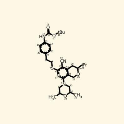 CC1CN(c2nc(SCCc3ccc(NC(=O)OC(C)(C)C)cc3)c(C#N)c3c2COC(C(C)C)C3)CC(C)O1